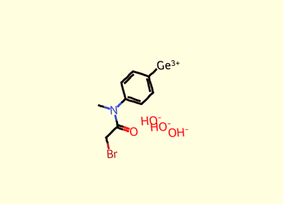 CN(C(=O)CBr)c1cc[c]([Ge+3])cc1.[OH-].[OH-].[OH-]